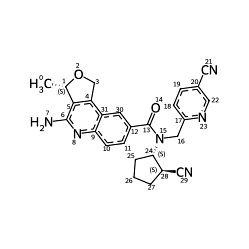 C[C@@H]1OCc2c1c(N)nc1ccc(C(=O)N(Cc3ccc(C#N)cn3)[C@H]3CCC[C@@H]3C#N)cc21